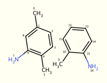 Cc1ccc(C)c(N)c1.Cc1ccccc1N